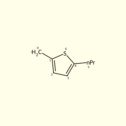 [CH2]c1ccc(CCC)s1